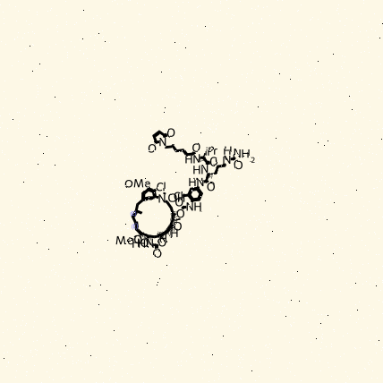 COc1cc2cc(c1Cl)N(C)C(O)C[C@H](OC(=O)Nc1ccc(NC(=O)[C@H](CCCNC(N)=O)NC(=O)[C@@H](NC(=O)CCCCCN3C(=O)C=CC3=O)C(C)C)cc1Cl)[C@]1(C)O[C@H]1[C@H](C)[C@@H]1C[C@@](O)(NC(=O)O1)[C@H](OC)/C=C/C=C(\C)C2